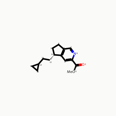 COC(=O)c1cc2c(cn1)CC[C@H]2CCC1CC1